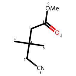 COC(=O)CC(C)(C)CC#N